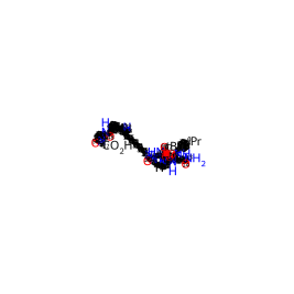 CC(C)c1ccc(CNC(=O)C(CCC(N)=O)NC(=O)[C@@H]2CC[C@@H]3CCN(C(=O)NCCCCCCCCCc4cncc(-c5cccc(C(=O)Nc6ccc(=O)n(CC(=O)O)c6)c5)c4)C[C@H](NC(=O)OC(C)(C)C)C(=O)N32)cc1